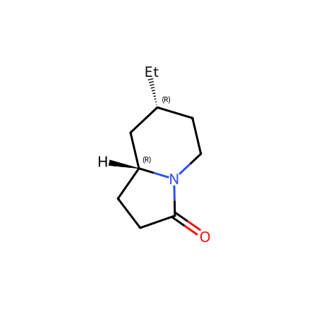 CC[C@@H]1CCN2C(=O)CC[C@@H]2C1